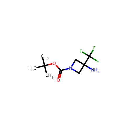 CC(C)(C)OC(=O)N1CC(N)(C(F)(F)F)C1